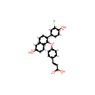 O=C(O)/C=C/c1ccc(Oc2c(-c3ccc(O)c(F)c3)ccc3cc(O)ccc23)cc1